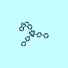 c1ccc(-c2ccc(-c3nc(-c4ccc(-c5ccccc5)cc4)nc(-c4ccc5ccc6oc7ccccc7c6c5c4)n3)cc2)cc1